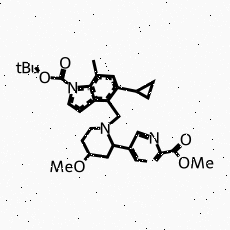 C=C(/N=C\C(=C/C)C1CC(OC)CCN1Cc1c(C2CC2)cc(C)c2c1ccn2C(=O)OC(C)(C)C)C(=O)OC